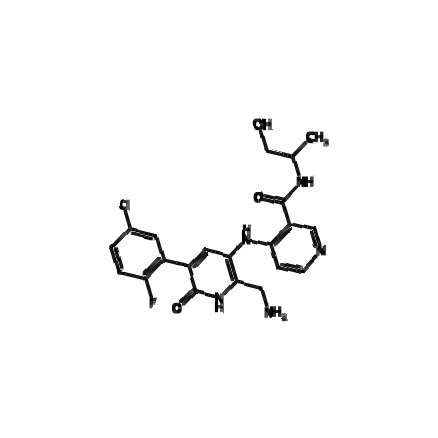 CC(CO)NC(=O)c1cnccc1Nc1cc(-c2cc(Cl)ccc2F)c(=O)[nH]c1CN